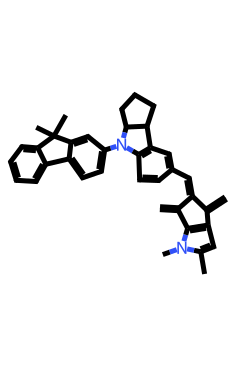 C=C1C(=Cc2ccc3c(c2)C2CCCC2N3c2ccc3c(c2)C(C)(C)c2ccccc2-3)C(=C)c2c1cc(C)n2C